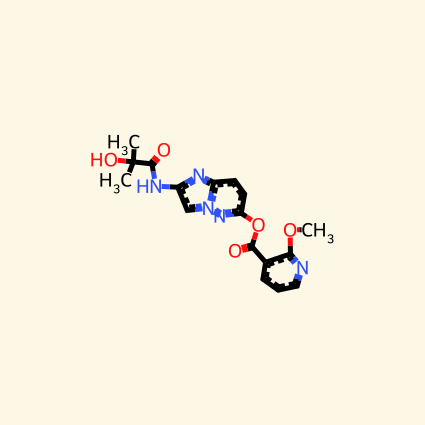 COc1ncccc1C(=O)Oc1ccc2nc(NC(=O)C(C)(C)O)cn2n1